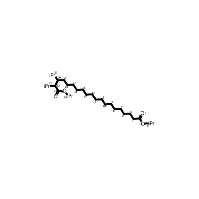 CC(C)OC(=O)CCCCCCCCCCCCCCCCC(C(C)C)C(C(=O)OC(C)C)C(C)C